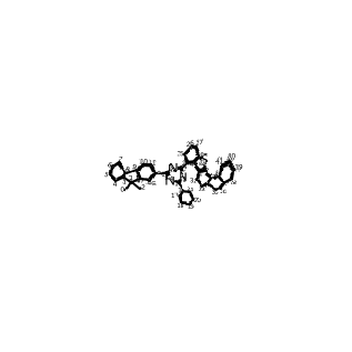 CC1(C)c2ccccc2-c2ccc(-c3nc(-c4ccccc4)nc(-c4cccc5sc6c(ccc7ccc8ccccc8c76)c45)n3)cc21